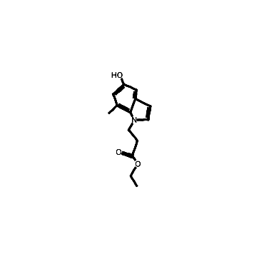 CCOC(=O)CCn1ccc2cc(O)cc(C)c21